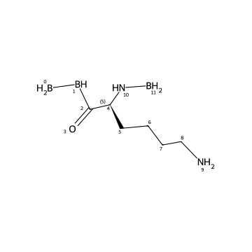 BBC(=O)[C@H](CCCCN)NB